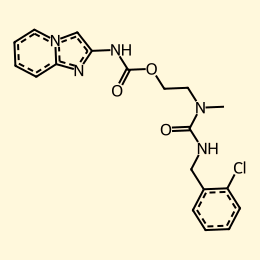 CN(CCOC(=O)Nc1cn2ccccc2n1)C(=O)NCc1ccccc1Cl